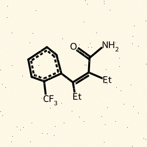 CCC(C(N)=O)=C(CC)c1ccccc1C(F)(F)F